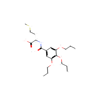 CCCOc1cc(C(=O)N[C@@H](CCSC)C(=O)O)cc(OCCC)c1OCCC